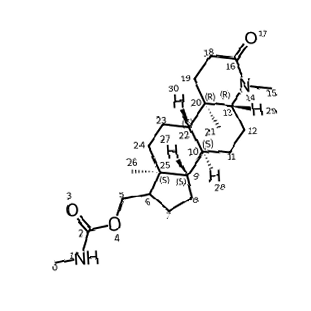 CNC(=O)OCC1CC[C@H]2[C@@H]3CC[C@H]4N(C)C(=O)CC[C@]4(C)[C@H]3CC[C@]12C